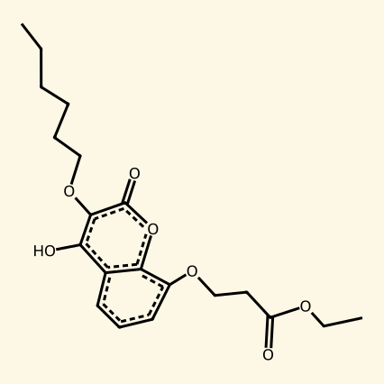 CCCCCCOc1c(O)c2cccc(OCCC(=O)OCC)c2oc1=O